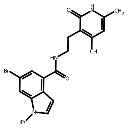 Cc1cc(C)c(CCNC(=O)c2cc(Br)cc3c2ccn3C(C)C)c(=O)[nH]1